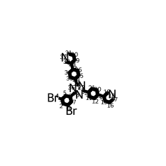 Brc1cc(Br)cc(-c2nc(-c3ccc(-c4cccnc4)cc3)nc(-c3ccc(-c4cccnc4)cc3)n2)c1